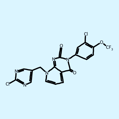 O=c1nc2n(Cc3cnc(Cl)nc3)cccc-2c(=O)n1-c1ccc(OC(F)(F)F)c(Cl)c1